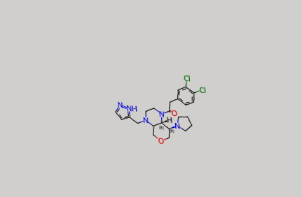 O=C(Cc1ccc(Cl)c(Cl)c1)N1CCN(Cc2ccn[nH]2)C2COC[C@H](N3CCCC3)[C@H]21